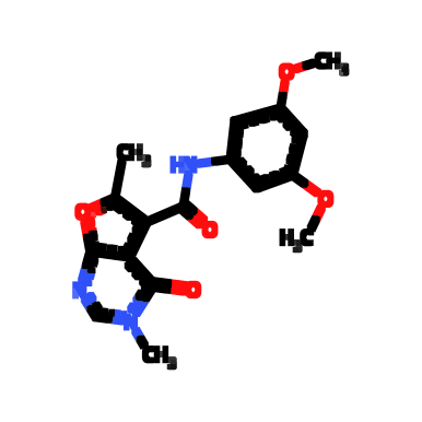 COc1cc(NC(=O)c2c(C)oc3ncn(C)c(=O)c23)cc(OC)c1